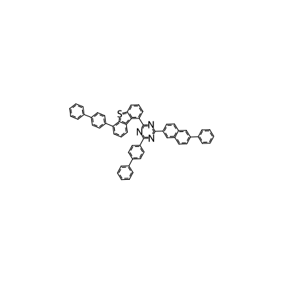 c1ccc(-c2ccc(-c3nc(-c4ccc5cc(-c6ccccc6)ccc5c4)nc(-c4cccc5sc6c(-c7ccc(-c8ccccc8)cc7)cccc6c45)n3)cc2)cc1